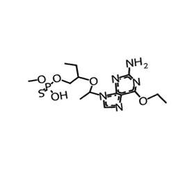 CCOc1nc(N)nc2c1ncn2C(C)OC(CC)COP(O)(=S)OC